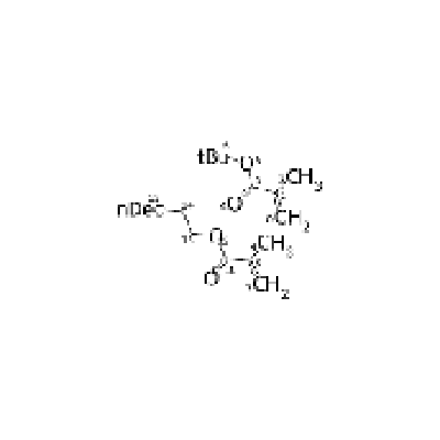 C=C(C)C(=O)OC(C)(C)C.C=C(C)C(=O)OCCCCCCCCCCCC